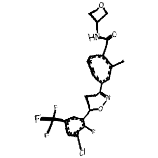 Cc1cc(C2=NOC(c3cc(C(F)(F)F)cc(Cl)c3F)C2)ccc1C(=O)NC1COC1